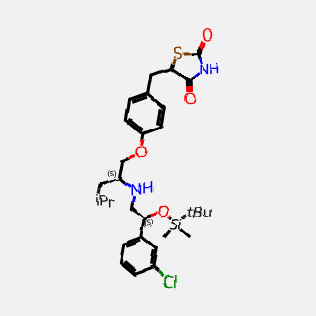 CC(C)C[C@@H](COc1ccc(CC2SC(=O)NC2=O)cc1)NC[C@@H](O[Si](C)(C)C(C)(C)C)c1cccc(Cl)c1